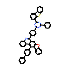 c1ccc(-c2ccc(-c3c4c(cc5c(-c6ccc(-c7nc(-c8ccccc8)nc(-c8cccc9c8sc8ccccc89)n7)cc6)nc6ccccc6c35)oc3ccccc34)cc2)cc1